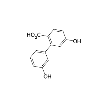 O=C(O)c1ccc(O)cc1-c1cccc(O)c1